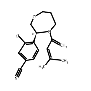 C=C(C=C(C)C)N1CCCOC[C@@H]1c1ccc(C#N)cc1Cl